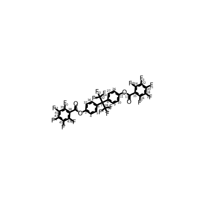 O=C(Oc1ccc(C(c2ccc(OC(=O)c3c(F)c(F)c(F)c(F)c3F)cc2)(C(F)(F)F)C(F)(F)F)cc1)c1c(F)c(F)c(F)c(F)c1F